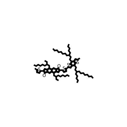 CCCCCCCCC(CCCCC)CCc1c2cc(-c3ccc(-c4cc5c(CC(CC)CCCCCC)c6cc7c(=O)c(-c8ccc(C)s8)cc7c(CC(CC)CCCCCC)c6cc5c4=O)s3)sc2c(CCC(CCCCC)CCCCCCCC)c2cc(C)sc12